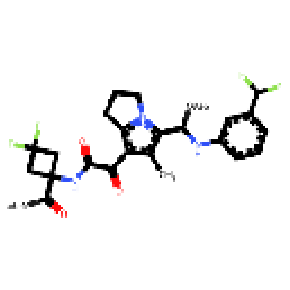 CNC(=O)C1(NC(=O)C(=O)c2c(C)c(C(Nc3cccc(C(F)F)c3)OC)n3c2CCC3)CC(F)(F)C1